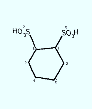 O=S(=O)(O)C1C[CH]CCC1S(=O)(=O)O